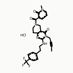 CC#CCn1c(NCCc2ccc(C(F)(F)F)cc2)nc2c(c1=O)CN(C(=O)c1cccn(C)c1=O)CC2.Cl